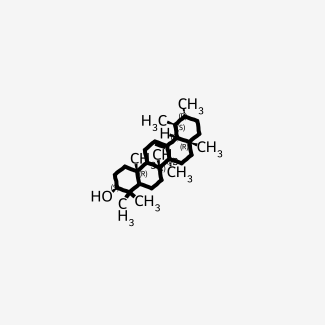 C[C@H]1[C@H](C)CC[C@]2(C)CC[C@]3(C)C(=CCC4[C@@]5(C)CC[C@H](O)C(C)(C)C5CC[C@]43C)[C@H]12